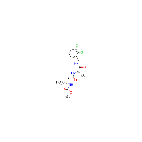 CCC(C)[C@H](NC(=O)C[C@H](NC(=O)OC(C)(C)C)C(=O)O)C(=O)NCc1cccc(Cl)c1Cl